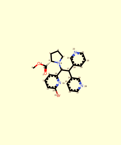 COC(=O)[C@@H]1CCCN1C(c1cccc(Br)n1)C(c1cccnc1)c1cccnc1